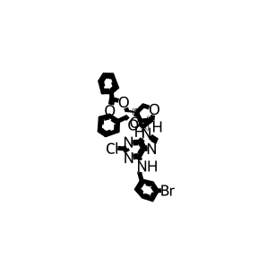 O=C(OC[C@]12CO[C@@H]([C@H](n3cnc4c(NCc5cccc(Br)c5)nc(Cl)nc43)O1)[C@@H]2OCc1ccccc1)c1ccccc1